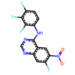 O=[N+]([O-])c1cc2c(Nc3ccc(F)c(F)c3F)ncnc2cc1F